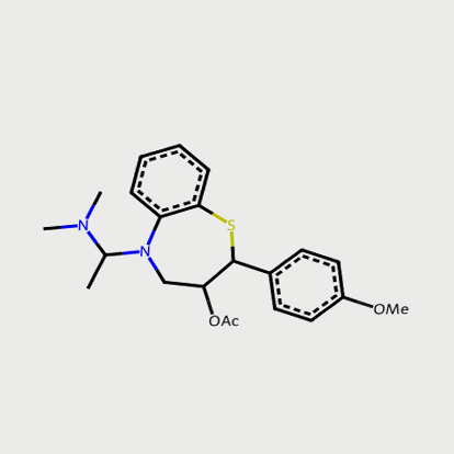 COc1ccc(C2Sc3ccccc3N(C(C)N(C)C)CC2OC(C)=O)cc1